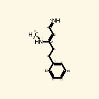 CN/C(=C\C=N)CCc1ccccc1